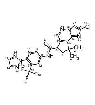 CC1(C)CC(C(=O)Nc2cnc(-n3nccn3)c(C(F)(F)F)c2)c2cnn3cc(Cl)nc3c21